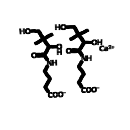 CC(C)(CO)C(O)C(=O)NCCCC(=O)[O-].CC(C)(CO)C(O)C(=O)NCCCC(=O)[O-].[Ca+2]